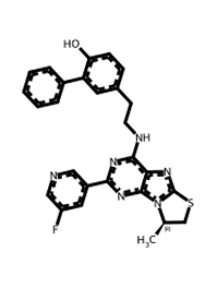 C[C@@H]1CSc2nc3c(NCCc4ccc(O)c(-c5ccccc5)c4)nc(-c4cncc(F)c4)nc3n21